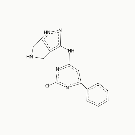 Clc1nc(Nc2n[nH]c3c2CNC3)cc(-c2ccccc2)n1